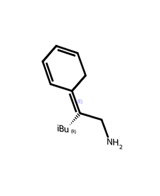 CC[C@@H](C)/C(CN)=C1\C=CC=CC1